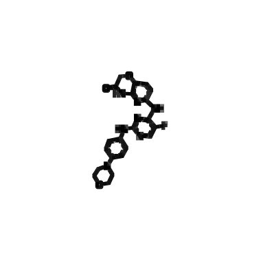 O=C1COc2ccc(Nc3nc(Nc4ccc(N5CCOCC5)cc4)ncc3F)nc2N1